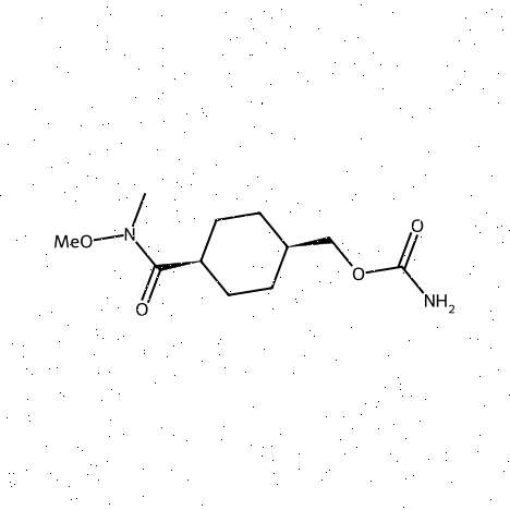 CON(C)C(=O)[C@H]1CC[C@@H](COC(N)=O)CC1